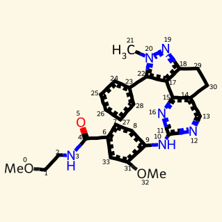 COCCNC(=O)c1ccc(Nc2ncc3c(n2)-c2c(nn(C)c2-c2ccccc2)CC3)c(OC)c1